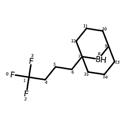 FC(F)(F)CCCC12BC(CCC1)CCC2